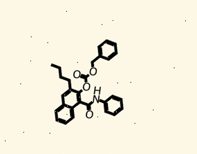 CCCCc1cc2ccccc2c(C(=O)Nc2ccccc2)c1OC(=O)OCc1ccccc1